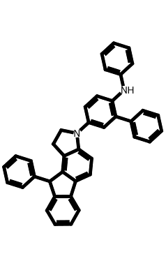 c1ccc(Nc2ccc(N3CCc4c3ccc3c4C(c4ccccc4)c4ccccc4-3)cc2-c2ccccc2)cc1